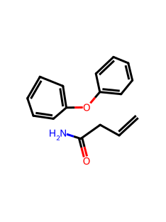 C=CCC(N)=O.c1ccc(Oc2ccccc2)cc1